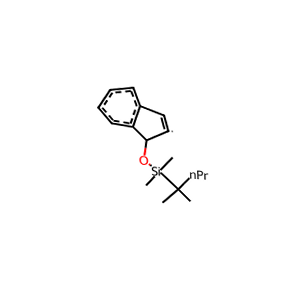 CCCC(C)(C)[Si](C)(C)OC1[C]=Cc2ccccc21